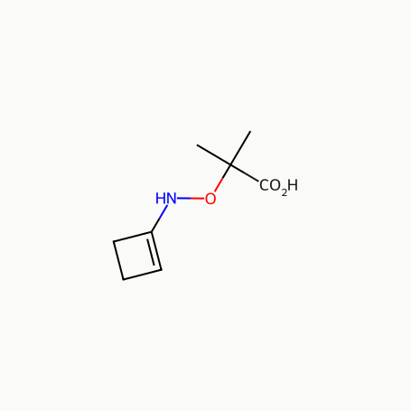 CC(C)(ONC1=CCC1)C(=O)O